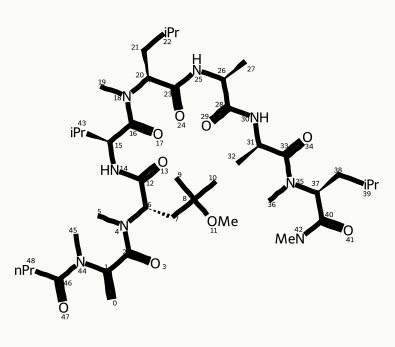 C=C(C(=O)N(C)[C@@H](CC(C)(C)OC)C(=O)N[C@H](C(=O)N(C)[C@@H](CC(C)C)C(=O)N[C@@H](C)C(=O)N[C@H](C)C(=O)N(C)[C@@H](CC(C)C)C(=O)NC)C(C)C)N(C)C(=O)CCC